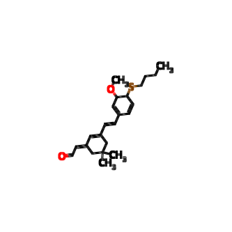 CCCCSC1C=CC(/C=C/C2=CC(=C/C=O)/CC(C)(C)C2)=CC1OC